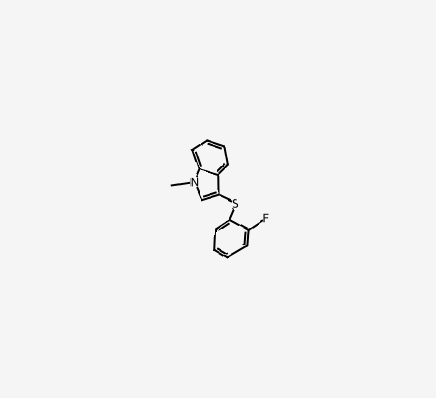 Cn1cc(Sc2ccccc2F)c2ccccc21